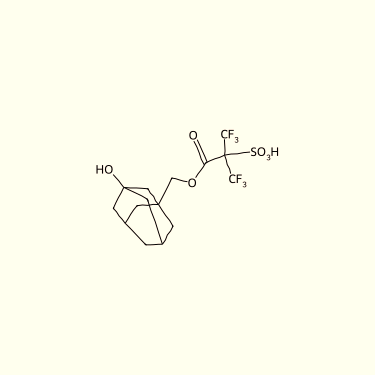 O=C(OCC12CC3CC(CC(O)(C3)C1)C2)C(C(F)(F)F)(C(F)(F)F)S(=O)(=O)O